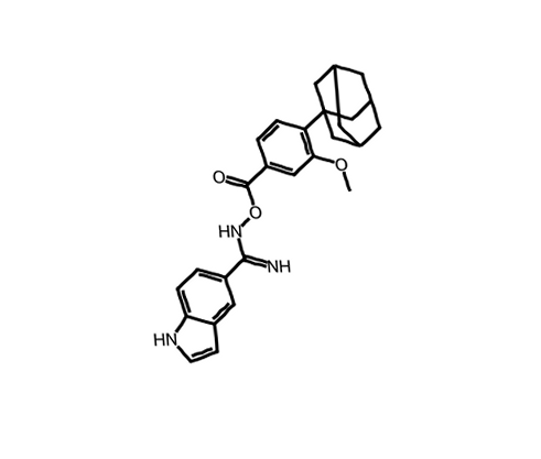 COc1cc(C(=O)ONC(=N)c2ccc3[nH]ccc3c2)ccc1C12CC3CC(CC(C3)C1)C2